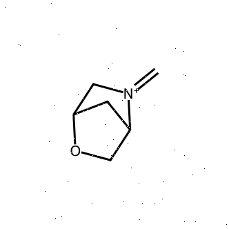 C=[N+]1CC2CC1CO2